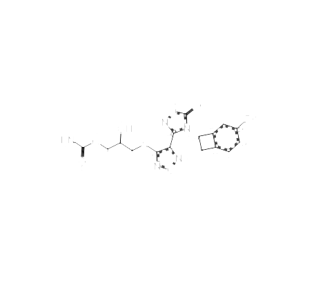 NC(=O)OCC(O)CSc1nonc1-c1noc(=O)n1[C@H]1Cc2ccc(F)cc21